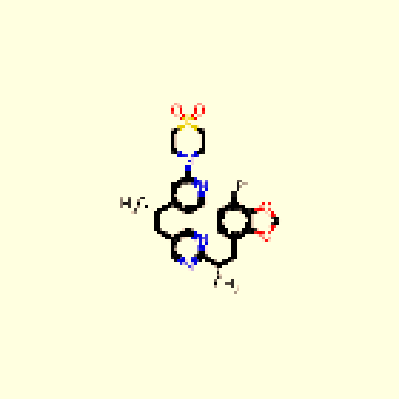 CC(C)c1ccc(C[C@H](C)c2ncc(C[C@H](C)c3ccnc(N4CCS(=O)(=O)CC4)c3)cn2)c2c1OCO2